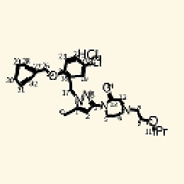 Cc1cc(N2CCN(CCOC(C)C)CC2=O)nn1Cc1cc(Cl)ccc1OCc1ccccc1.Cl